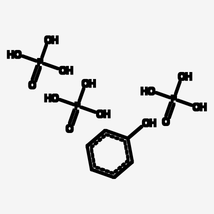 O=P(O)(O)O.O=P(O)(O)O.O=P(O)(O)O.Oc1ccccc1